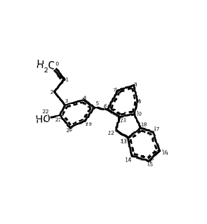 C=CCc1cc(-c2cccc3c2Cc2ccccc2-3)ccc1O